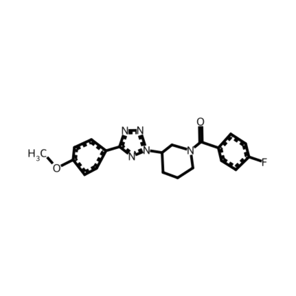 COc1ccc(-c2nnn(C3CCCN(C(=O)c4ccc(F)cc4)C3)n2)cc1